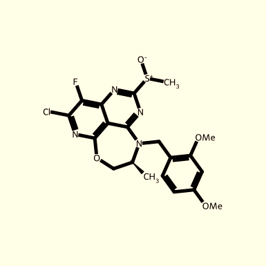 COc1ccc(CN2c3nc([S+](C)[O-])nc4c(F)c(Cl)nc(c34)OC[C@@H]2C)c(OC)c1